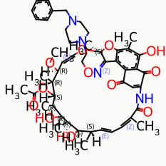 CO[C@H]1/C=C/O[C@@]2(C)Oc3c(C)c(O)c4c(c3/C2=N/OCCN2CCN(Cc3ccccc3)CC2)C(=O)C=C(NC(=O)/C(C)=C\C=C\[C@H](C)[C@H](O)[C@@H](C)[C@@H](O)[C@@H](C)[C@H](OC(C)=O)[C@@H]1C)C4=O